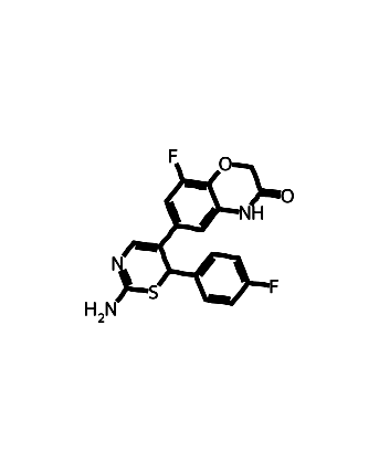 NC1=NC=C(c2cc(F)c3c(c2)NC(=O)CO3)C(c2ccc(F)cc2)S1